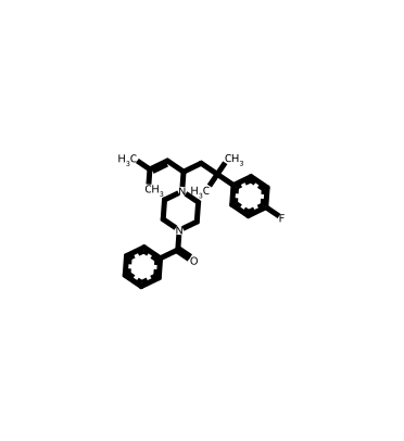 CC(C)=CC(CC(C)(C)c1ccc(F)cc1)N1CCN(C(=O)c2ccccc2)CC1